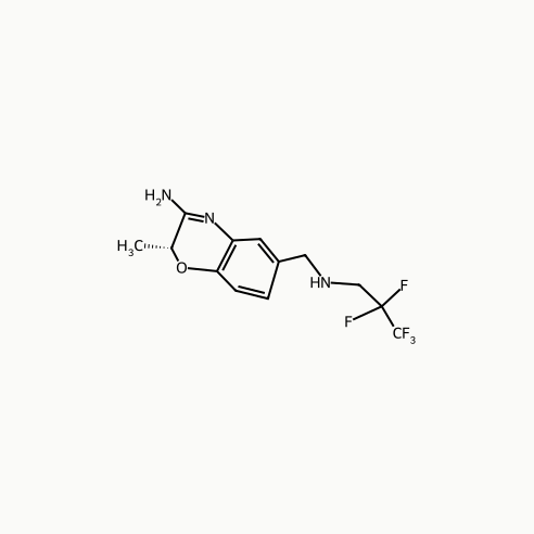 C[C@H]1Oc2ccc(CNCC(F)(F)C(F)(F)F)cc2N=C1N